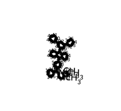 C[Si](C)(C)c1cccc(N(c2ccccc2)c2ccc(-c3c4ccccc4c(-c4cc(-c5ccccc5)cc(-c5ccccc5)c4)c4ccccc34)cc2)n1